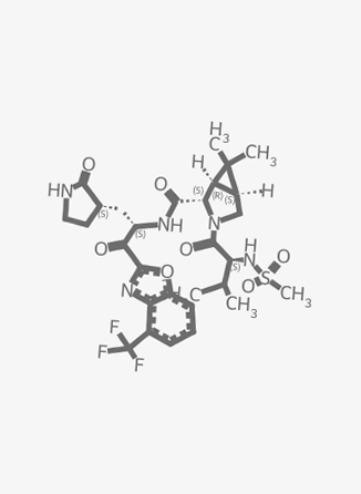 CC(C)[C@H](NS(C)(=O)=O)C(=O)N1C[C@H]2[C@@H]([C@H]1C(=O)N[C@@H](C[C@@H]1CCNC1=O)C(=O)c1nc3c(C(F)(F)F)cccc3o1)C2(C)C